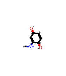 CNC1=CC(=O)C=CC1=O